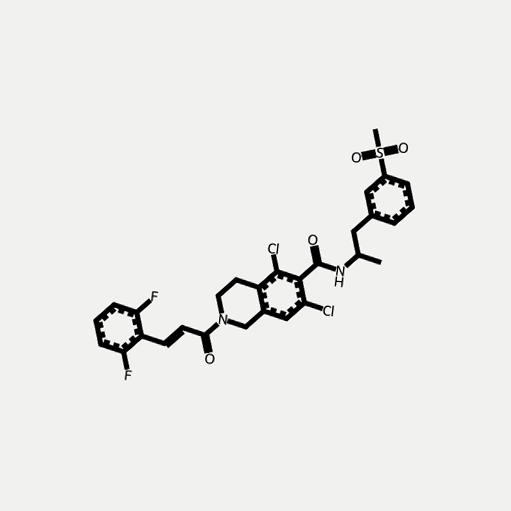 CC(Cc1cccc(S(C)(=O)=O)c1)NC(=O)c1c(Cl)cc2c(c1Cl)CCN(C(=O)/C=C/c1c(F)cccc1F)C2